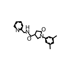 Cc1cc(C)cc(N2CC(C(=O)NCc3ccccn3)CC2=O)c1